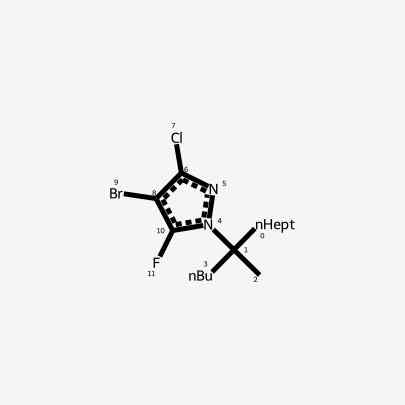 CCCCCCCC(C)(CCCC)n1nc(Cl)c(Br)c1F